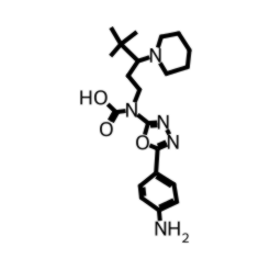 CC(C)(C)C(CCN(C(=O)O)c1nnc(-c2ccc(N)cc2)o1)N1CCCCC1